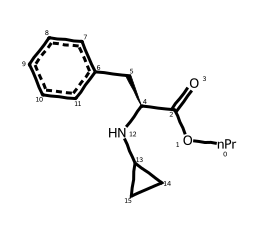 CCCOC(=O)[C@H](Cc1ccccc1)NC1CC1